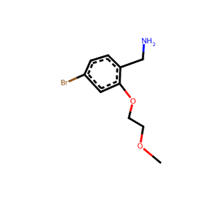 COCCOc1cc(Br)ccc1CN